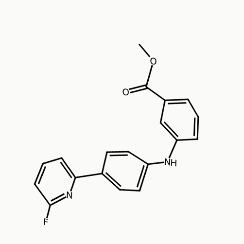 COC(=O)c1cccc(Nc2ccc(-c3cccc(F)n3)cc2)c1